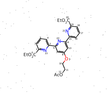 CCOC(=O)c1cccc(-c2cc(OCCOC(C)=O)cc(-c3cccc(C(=O)OCC)n3)n2)n1